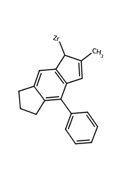 CC1=Cc2c(cc3c(c2-c2ccccc2)CCC3)[CH]1[Zr]